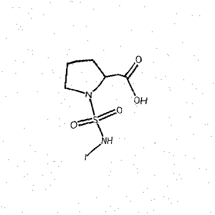 O=C(O)C1CCCN1S(=O)(=O)NI